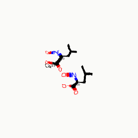 CC(C)C[C@H](N=O)C(=O)[O-].CC(C)C[C@H](N=O)C(=O)[O-].[Ca+2]